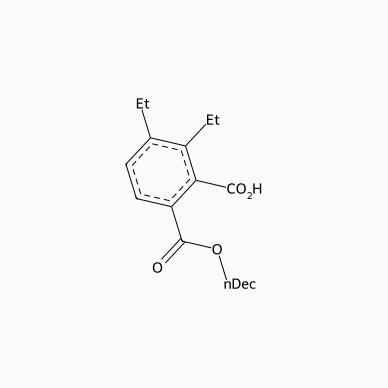 CCCCCCCCCCOC(=O)c1ccc(CC)c(CC)c1C(=O)O